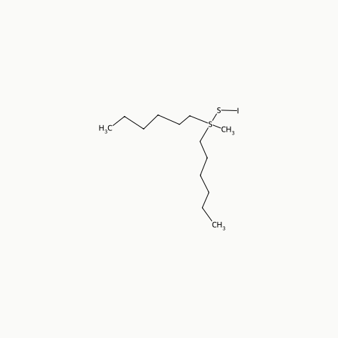 CCCCCCS(C)(CCCCCC)SI